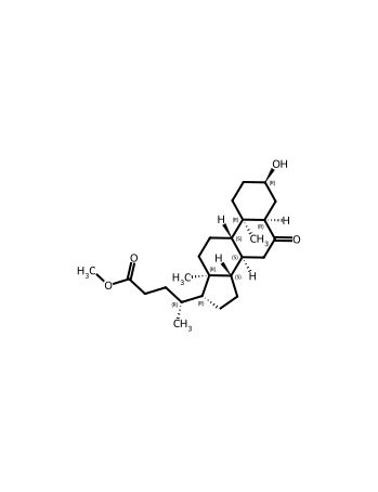 COC(=O)CC[C@@H](C)[C@H]1CC[C@H]2[C@@H]3CC(=O)[C@@H]4C[C@H](O)CC[C@]4(C)[C@H]3CC[C@]12C